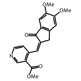 COC(=O)c1cnccc1C=C1Cc2cc(OC)c(OC)cc2C1=O